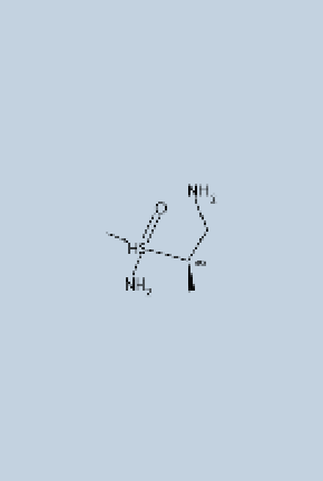 C[C@H](CN)[SH](C)(N)=O